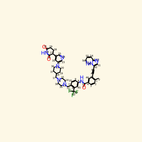 Cc1ccc(C(=O)Nc2ccc(CN3CCN(CC4CCN(c5cncc(C6CCC(=O)NC6=O)c5)CC4)CC3)c(C(F)(F)F)c2)cc1C#Cc1cnc2cccnn12